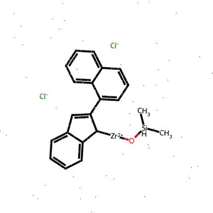 C[SiH](C)[O][Zr+2][CH]1C(c2cccc3ccccc23)=Cc2ccccc21.[Cl-].[Cl-]